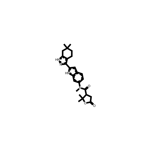 CN(C(=O)C1CC(=O)OC1(C)C)c1ccc2cc(-c3n[nH]c4c3CCC(C)(C)C4)[nH]c2c1